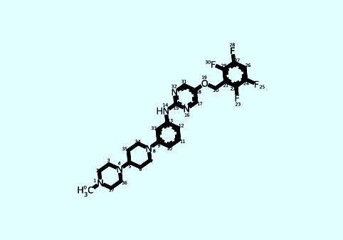 CN1CCN(C2CCN(c3cccc(Nc4ncc(OCc5c(F)c(F)cc(F)c5F)cn4)c3)CC2)CC1